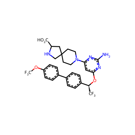 Nc1nc(O[C@H](c2ccc(-c3ccc(OC(F)(F)F)cc3)cc2)C(F)(F)F)cc(N2CCC3(CC2)CNC(C(=O)O)C3)n1